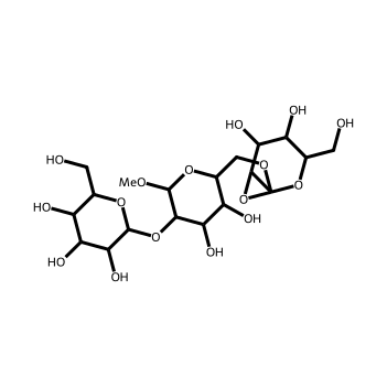 COC1OC(COC23OC(CO)C(O)C(O)C2O3)C(O)C(O)C1OC1OC(CO)C(O)C(O)C1O